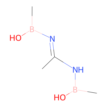 CB(O)/N=C(\C)NB(C)O